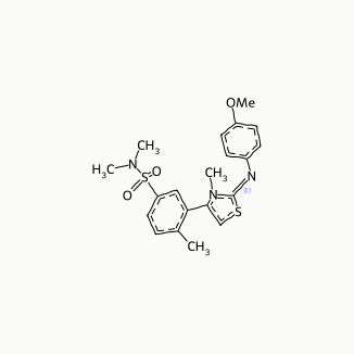 COc1ccc(/N=c2/scc(-c3cc(S(=O)(=O)N(C)C)ccc3C)n2C)cc1